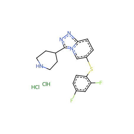 Cl.Cl.Fc1ccc(Sc2ccc3nnc(C4CCNCC4)n3c2)c(F)c1